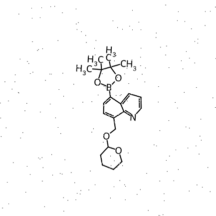 CC1(C)OB(c2ccc(COC3CCCCO3)c3ncccc23)OC1(C)C